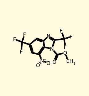 COC(=O)n1c(C(F)(F)F)nc2cc(C(F)(F)F)cc([N+](=O)[O-])c21